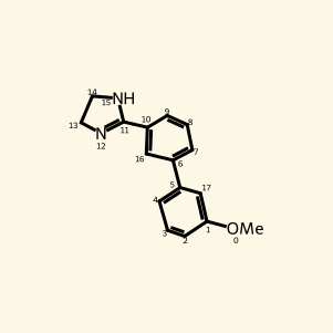 COc1cccc(-c2cccc(C3=NCCN3)c2)c1